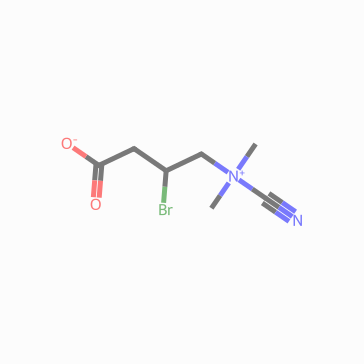 C[N+](C)(C#N)CC(Br)CC(=O)[O-]